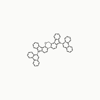 c1ccc2c(c1)cc(-n1c3ccccc3c3c4c(ccc31)-c1ccc3c(c1OC4)c1ccccc1n3-c1cc3ccccc3c3ccccc13)c1ccccc12